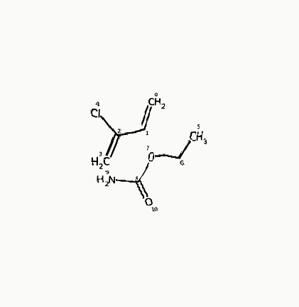 C=CC(=C)Cl.CCOC(N)=O